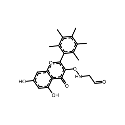 Cc1c(C)c(C)c(-c2oc3cc(O)cc(O)c3c(=O)c2ONCC=O)c(C)c1C